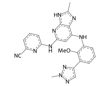 COc1c(Nc2cc(Nc3cccc(C#N)n3)nc3[nH]c(C)nc23)cccc1-c1cnn(C)n1